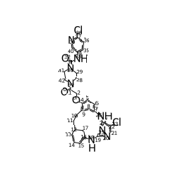 O=C(COc1ccc2cc1CCC1C=CC=C(C1)Nc1ncc(Cl)c(n1)N2)N1CCN(C(=O)Nc2ccc(Cl)nc2)CC1